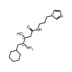 N[C@@H](CC1CCCCC1)[C@@H](O)CC(=O)NCCCn1ccnc1